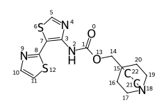 O=C(Nc1ncsc1-c1nccs1)OCC12CCN(CC1)CC2